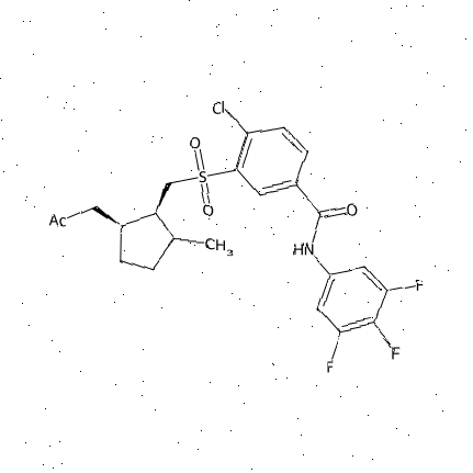 CC(=O)C[C@@H]1CCC(C)[C@@H]1CS(=O)(=O)c1cc(C(=O)Nc2cc(F)c(F)c(F)c2)ccc1Cl